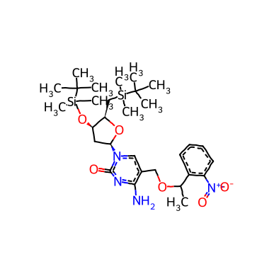 CC(OCc1cn([C@H]2C[C@@H](O[Si](C)(C)C(C)(C)C)[C@@H](C[Si](C)(C)C(C)(C)C)O2)c(=O)nc1N)c1ccccc1[N+](=O)[O-]